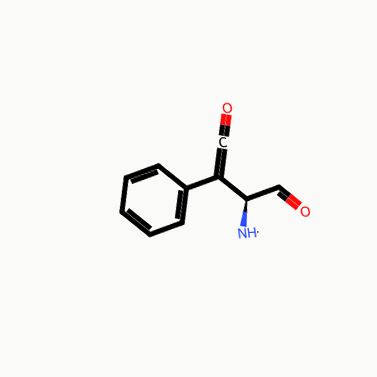 [NH][C@H](C=O)C(=C=O)c1ccccc1